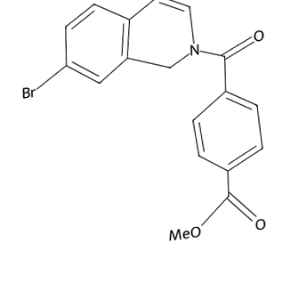 COC(=O)c1ccc(C(=O)N2C=Cc3ccc(Br)cc3C2)cc1